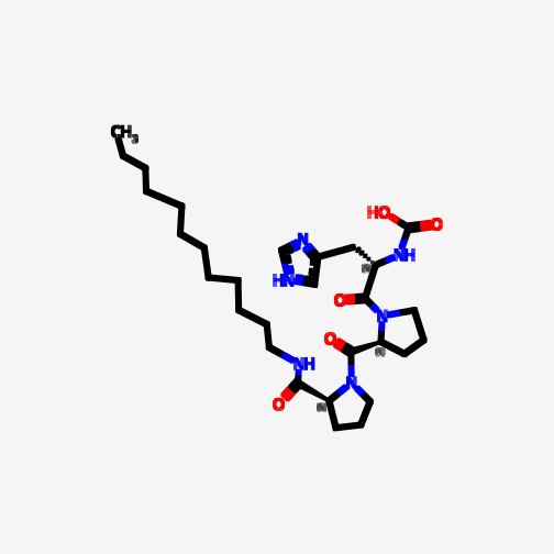 CCCCCCCCCCCCNC(=O)[C@@H]1CCCN1C(=O)[C@@H]1CCCN1C(=O)[C@H](Cc1c[nH]cn1)NC(=O)O